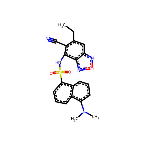 CCc1cc2nonc2c(NS(=O)(=O)c2cccc3c(N(C)C)cccc23)c1C#N